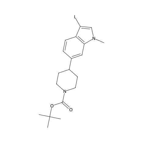 Cn1cc(I)c2ccc(C3CCN(C(=O)OC(C)(C)C)CC3)cc21